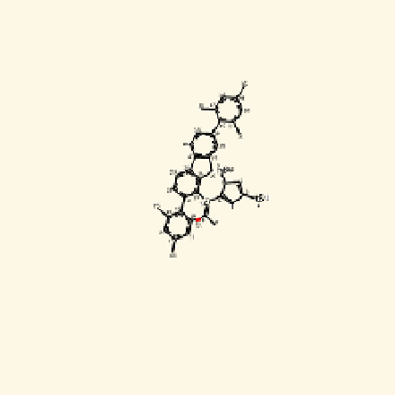 CCCCC1C=C(C(C)(C)C)C=[C]1[Zr](=[C](C)C)[c]1c(-c2c(C)cc(C)cc2C)ccc2c1Cc1cc(-c3c(C)cc(C)cc3C)ccc1-2